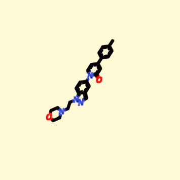 Cc1ccc(-c2ccn(-c3ccc4c(cnn4CCN4CCOCC4)c3)c(=O)c2)cc1